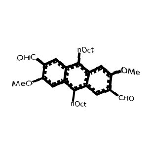 CCCCCCCCc1c2cc(C=O)c(OC)cc2c(CCCCCCCC)c2cc(C=O)c(OC)cc12